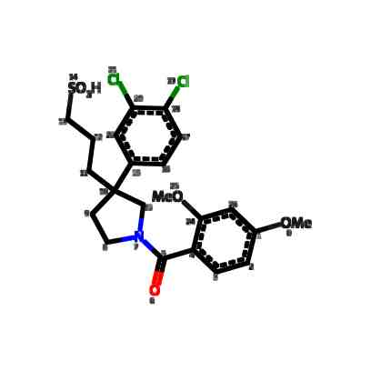 COc1ccc(C(=O)N2CCC(CCCS(=O)(=O)O)(c3ccc(Cl)c(Cl)c3)C2)c(OC)c1